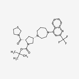 CC(C)(C)OC(=O)N1C[C@@H](N2CCCN(c3cc(C(F)(F)F)nc4ccccc34)CC2)C[C@H]1C(=O)N1CCSC1